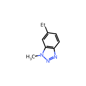 CCc1ccc2nnn(C)c2c1